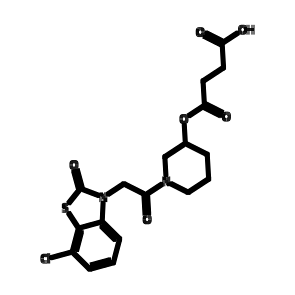 O=C(O)CCC(=O)OC1CCCN(C(=O)Cn2c(=O)sc3c(Cl)cccc32)C1